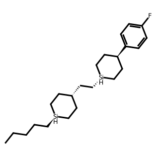 CCCCC[Si@H]1CC[C@H](CC[Si@H]2CC[C@H](c3ccc(F)cc3)CC2)CC1